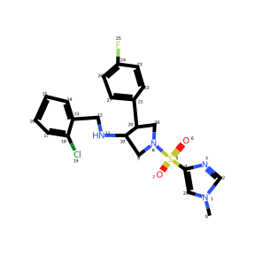 Cn1cnc(S(=O)(=O)N2CC(NCc3ccccc3Cl)C(c3ccc(F)cc3)C2)c1